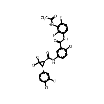 O=C(Nc1ccc(F)c(NC(=O)C(Cl)(Cl)Cl)c1F)c1cc(NC(=O)[C@H]2[C@H](c3ccc(Cl)c(Cl)c3)C2(Cl)Cl)ccc1Cl